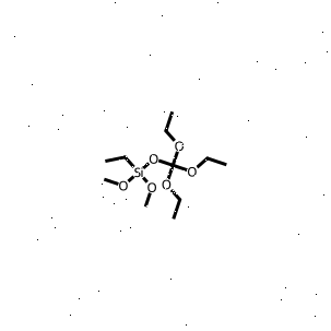 CCOC(OCC)(OCC)O[Si](CC)(OC)OC